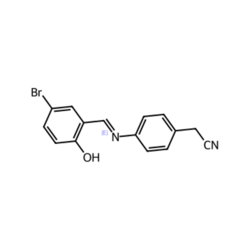 N#CCc1ccc(/N=C/c2cc(Br)ccc2O)cc1